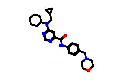 O=C(Nc1ccc(CN2CCOCC2)cc1)c1cc(N(CC2CC2)C2CCCCC2)ncn1